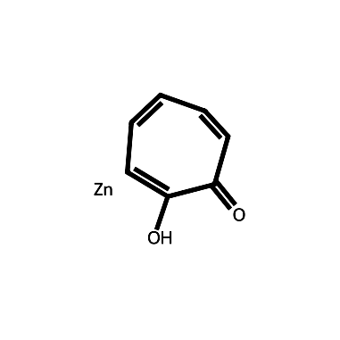 O=c1cccccc1O.[Zn]